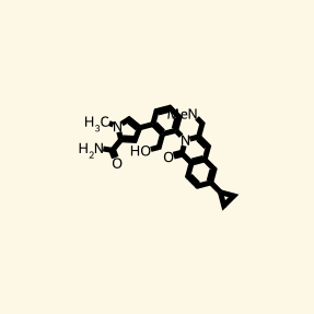 CNCc1cc2cc(C3CC3)ccc2c(=O)n1-c1cccc(-c2cc(C(N)=O)n(C)c2)c1CO